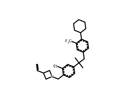 C=CC1CN(Cc2ccc(C(C)(C)Cc3ccc(C4CCCCC4)c(C(F)(F)F)c3)cc2CC)C1